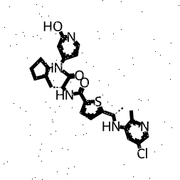 Cc1ncc(Cl)cc1N[C@@H](C)c1ccc(C(=O)N[C@H](CC2CCCC2)C(=O)Nc2ccnc(O)c2)s1